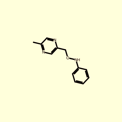 Cc1cnc(CONc2ccccc2)cn1